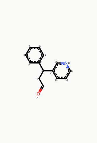 O=CCC(c1ccccc1)c1cccnc1